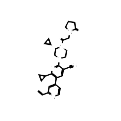 C=Cc1cc(-c2cc(C#N)c(N3CCN(C(=O)CN4CCCC4=O)[C@H](C4CC4)C3)nc2C2CC2)ccn1